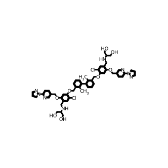 Cc1c(COc2cc(OCc3ccc(-n4cccn4)nc3)c(CNC(CO)CO)cc2Cl)cccc1-c1cccc(COc2cc(OCc3ccc(-n4cccn4)nc3)c(CNC(CO)CO)cc2Cl)c1C